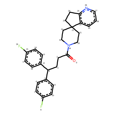 O=C(CCC(c1ccc(F)cc1)c1ccc(F)cc1)N1CCC2(CCc3ncccc32)CC1